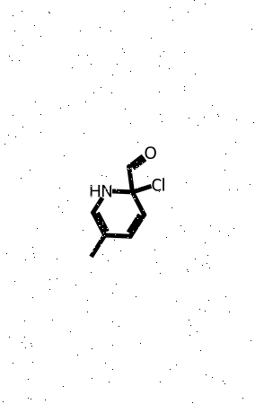 CC1=CNC(Cl)(C=O)C=C1